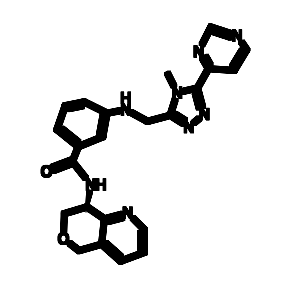 Cn1c(CNc2cccc(C(=O)N[C@@H]3COCc4cccnc43)c2)nnc1-c1ccncn1